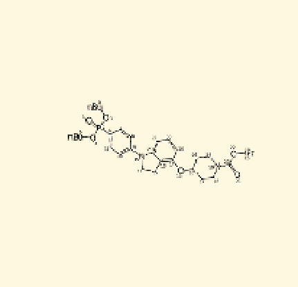 CCCCOP(=O)(OCCCC)c1ccc(N2CCc3c(OC4CCN(C(=O)OC(C)C)CC4)cccc32)cc1